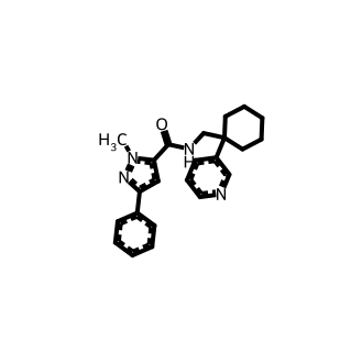 Cn1nc(-c2ccccc2)cc1C(=O)NCC1(c2cccnc2)CCCCC1